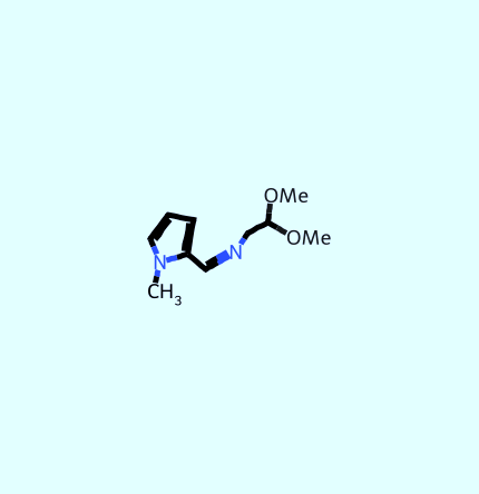 COC(C/N=C\c1cccn1C)OC